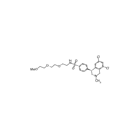 COCCOCCOCCNS(=O)(=O)c1ccc([C@@H]2CN(C)Cc3c(Cl)cc(Cl)cc32)cc1